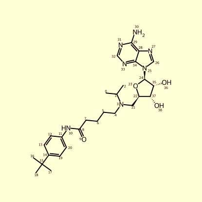 CC(C)N(CCCCC(=O)Nc1ccc(C(C)(C)C)cc1)C[C@H]1O[C@@H](n2cnc3c(N)ncnc32)[C@H](O)[C@@H]1O